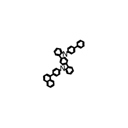 c1ccc(-c2ccc(-n3c4ccccc4c4cc5c(cc43)c3ccccc3n5-c3ccc(-c4cccc5ccccc45)cc3)cc2)cc1